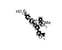 COCC1(CN(C)c2cc(-c3cnc(C(F)(F)F)c(C4CC4)c3)nc3nc(-c4cnc(N5CCC(OCC(=O)O)CC5)cn4)[nH]c23)CCCC1